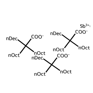 CCCCCCCCCCC(CCCCCCCC)(CCCCCCCC)C(=O)[O-].CCCCCCCCCCC(CCCCCCCC)(CCCCCCCC)C(=O)[O-].CCCCCCCCCCC(CCCCCCCC)(CCCCCCCC)C(=O)[O-].[Sb+3]